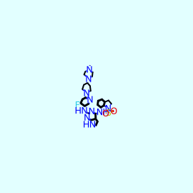 CN1CCN(C2CCN(c3cc(F)c(Nc4nc(Nc5cccc6c5N(S(C)(=O)=O)CC6)c5cc[nH]c5n4)cn3)CC2)CC1